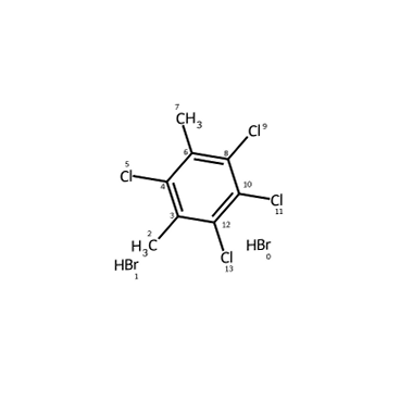 Br.Br.Cc1c(Cl)c(C)c(Cl)c(Cl)c1Cl